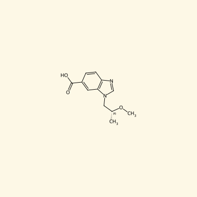 CO[C@H](C)Cn1cnc2ccc(C(=O)O)cc21